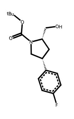 CC(C)(C)OC(=O)N1C[C@@H](c2ccc(F)cc2)C[C@H]1CO